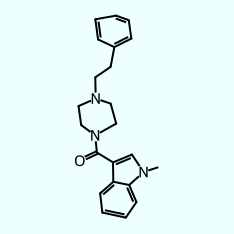 Cn1cc(C(=O)N2CCN(CCc3ccccc3)CC2)c2ccccc21